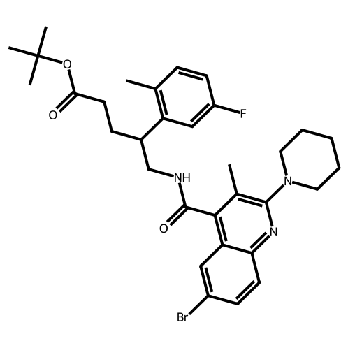 Cc1ccc(F)cc1C(CCC(=O)OC(C)(C)C)CNC(=O)c1c(C)c(N2CCCCC2)nc2ccc(Br)cc12